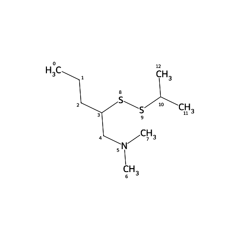 CCCC(CN(C)C)SSC(C)C